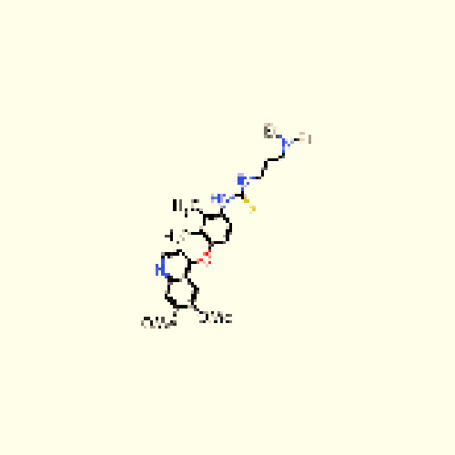 CCN(CC)CCCNC(=S)Nc1ccc(Oc2ccnc3cc(OC)c(OC)cc23)c(C)c1C